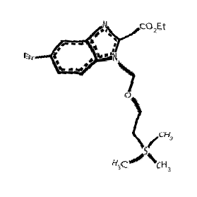 CCOC(=O)c1nc2cc(Br)ccc2n1COCCS(C)(C)C